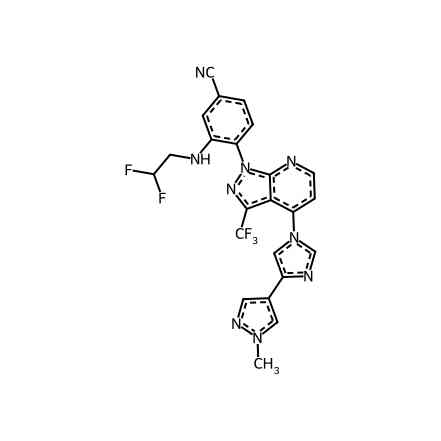 Cn1cc(-c2cn(-c3ccnc4c3c(C(F)(F)F)nn4-c3ccc(C#N)cc3NCC(F)F)cn2)cn1